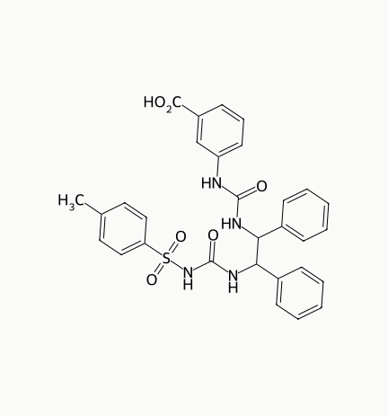 Cc1ccc(S(=O)(=O)NC(=O)NC(c2ccccc2)C(NC(=O)Nc2cccc(C(=O)O)c2)c2ccccc2)cc1